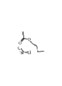 CCCCOC(C)=O.[Cl][Sn][Cl]